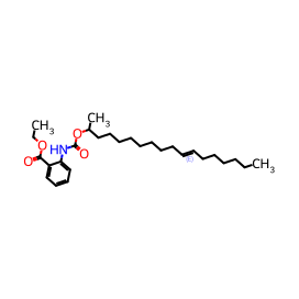 CCCCCC/C=C/CCCCCCCCC(C)OC(=O)Nc1ccccc1C(=O)OCC